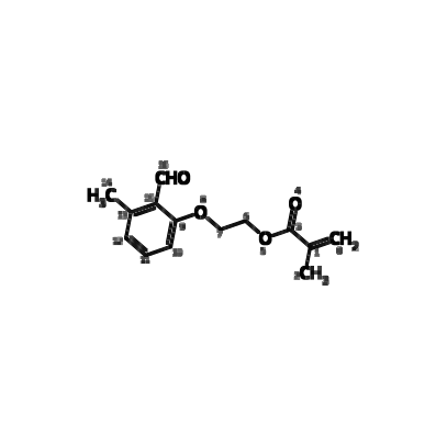 C=C(C)C(=O)OCCOc1cccc(C)c1C=O